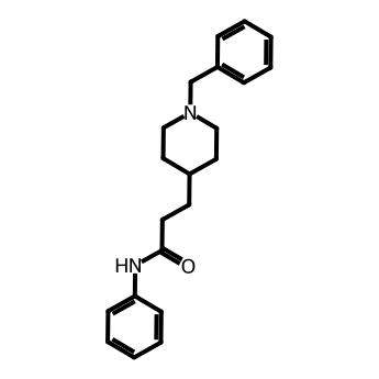 O=C(CCC1CCN(Cc2ccccc2)CC1)Nc1ccccc1